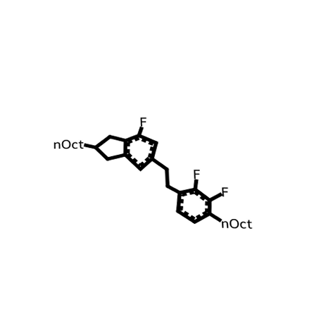 CCCCCCCCc1ccc(CCc2cc(F)c3c(c2)CC(CCCCCCCC)C3)c(F)c1F